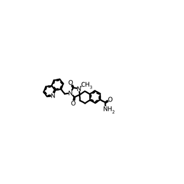 CN1C(=O)N(Cc2cccc3cccnc23)C(=O)C12CCc1cc(C(N)=O)ccc1C2